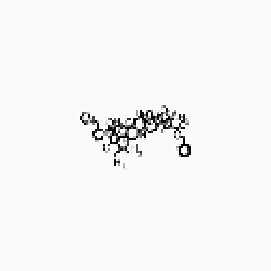 CC(C)C1=C2[C@H]3CC[C@@H]4[C@]5(C)CC[C@H]([C@@]6(C(=O)O)C[C@@H](C(=O)OCc7ccccc7)C6(C)C)C(C)(C)[C@H]5CC[C@@]4(C)[C@]3(C)CC[C@@]2(C(=O)N2CCCC2CN2CCCC2)CC1=O